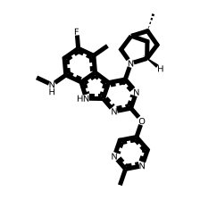 CNc1cc(F)c(C)c2c1[nH]c1nc(Oc3cnc(C)nc3)nc(N3CC4C[C@@H]3C[C@H]4C)c12